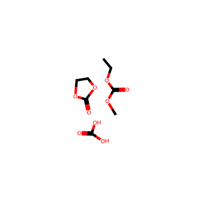 CCOC(=O)OC.O=C(O)O.O=C1OCCO1